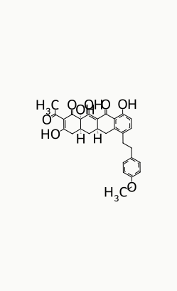 COc1ccc(CCc2ccc(O)c3c2C[C@H]2C[C@H]4CC(O)=C(C(C)=O)C(=O)[C@@]4(O)C(O)=C2C3=O)cc1